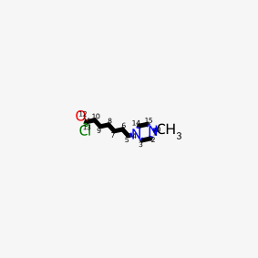 CN1CCN(CCCCCCC(=O)Cl)CC1